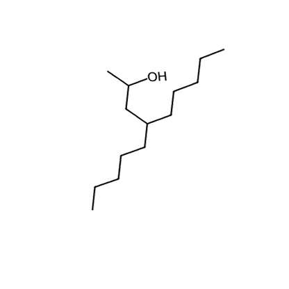 CCCCCC(CCCCC)CC(C)O